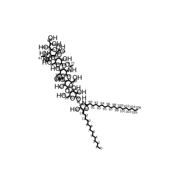 CCCCCCCCCCCCC/C=C/[C@@H](O)[C@H](CO[C@@H]1OC(CO)[C@@H](O[C@@H]2OC(CO)[C@H](O[C@@H]3OC(CO)[C@H](O)[C@H](O[C@@H]4OC(CO)[C@H](O)[C@H](O[C@]5(C(=O)O)CC(O)[C@@H](NC(C)=O)C([C@H](O)[C@H](O)CO)O5)C4O)C3NC(C)=O)[C@H](O)C2O)[C@H](O)C1O)NC(=O)CCCCCCCCCCCCCCCCC